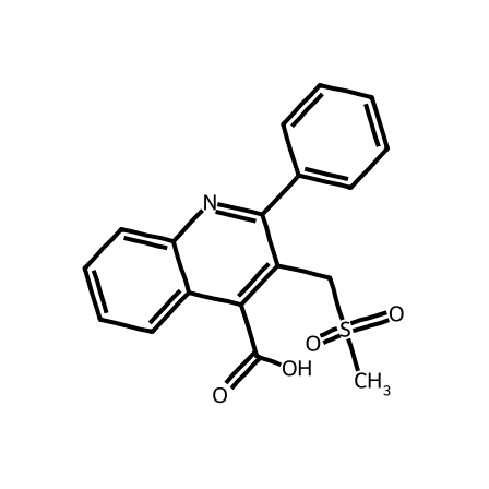 CS(=O)(=O)Cc1c(-c2ccccc2)nc2ccccc2c1C(=O)O